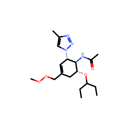 CCC(CC)O[C@@H]1CC(COOC)=C[C@H](n2cc(C)nn2)[C@H]1NC(C)=O